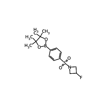 CC1(C)OB(c2ccc(S(=O)(=O)N3CC(F)C3)cc2)OC1(C)C